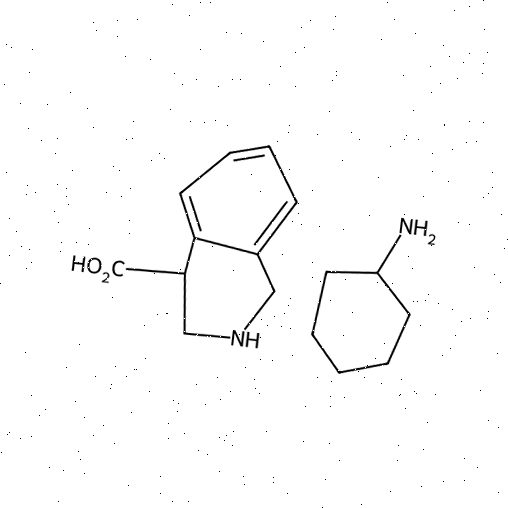 NC1CCCCC1.O=C(O)C1CNCc2ccccc21